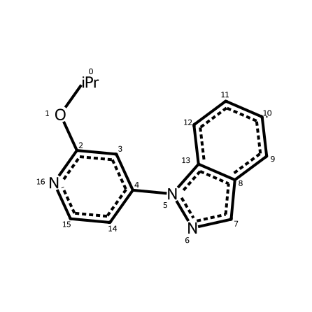 CC(C)Oc1cc(-n2ncc3c[c]ccc32)ccn1